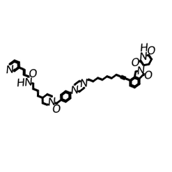 O=C(/C=C/c1cccnc1)NCCCCC1CCN(C(=O)c2ccc(N3CCN(CCCCCCCC#Cc4cccc5c4CN(C4CCC(=O)NC4=O)C5=O)CC3)cc2)CC1